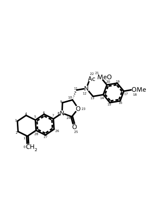 C=C1CCCc2cc(N3C[C@H](CN(Cc4ccc(OC)cc4OC)C(C)=O)OC3=O)ccc21